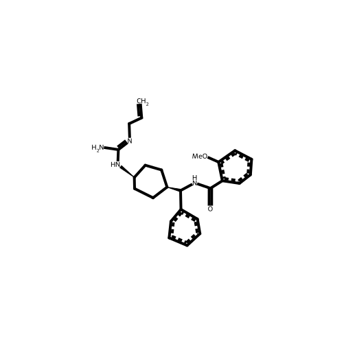 C=CCN=C(N)N[C@H]1CC[C@@H](C(NC(=O)c2ccccc2OC)c2ccccc2)CC1